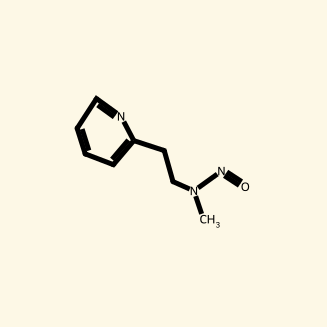 CN(CCc1ccccn1)N=O